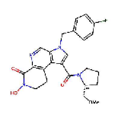 COC[C@H]1CCCN1C(=O)c1cn(Cc2ccc(F)cc2)c2cnc3c(c12)CCN(O)C3=O